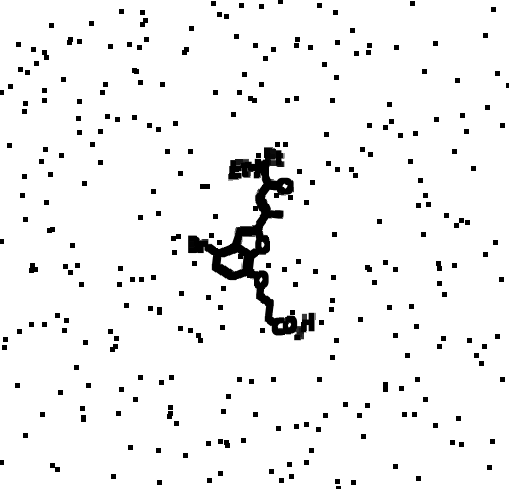 CCN(CC)C(=O)C=C(C)c1cc2c(Br)ccc(OCCCC(=O)O)c2o1